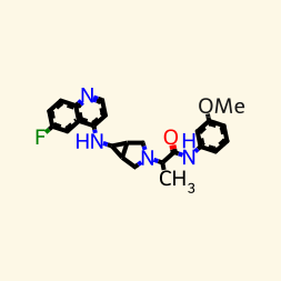 COc1cccc(NC(=O)C(C)N2CC3C(C2)C3Nc2ccnc3ccc(F)cc23)c1